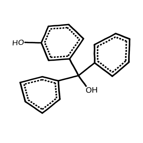 Oc1cccc(C(O)(c2ccccc2)c2ccccc2)c1